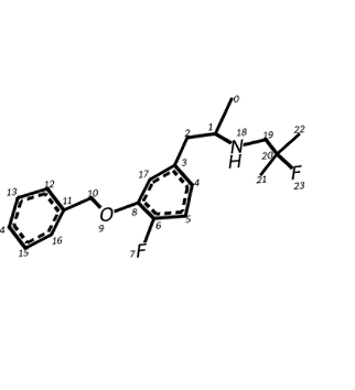 CC(Cc1ccc(F)c(OCc2ccccc2)c1)NCC(C)(C)F